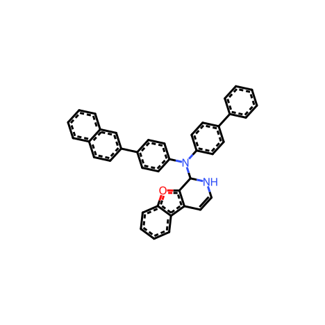 C1=Cc2c(oc3ccccc23)C(N(c2ccc(-c3ccccc3)cc2)c2ccc(-c3ccc4ccccc4c3)cc2)N1